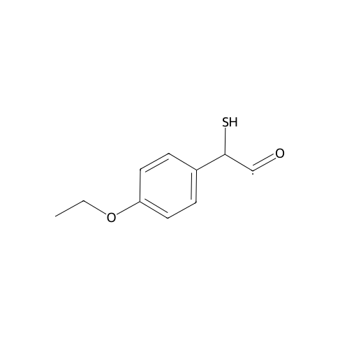 CCOc1ccc(C(S)[C]=O)cc1